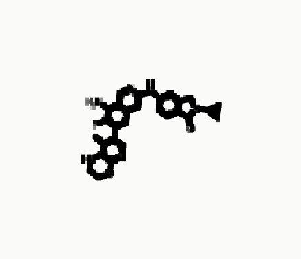 Cc1c(-c2cc3cc(Nc4ccc5c(c4)CN(C4CC4)C5=O)ncc3c(N)c2F)cnc2c1NCCO2